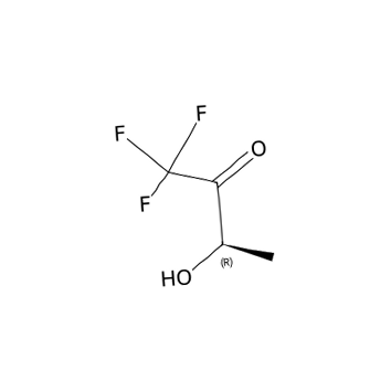 C[C@@H](O)C(=O)C(F)(F)F